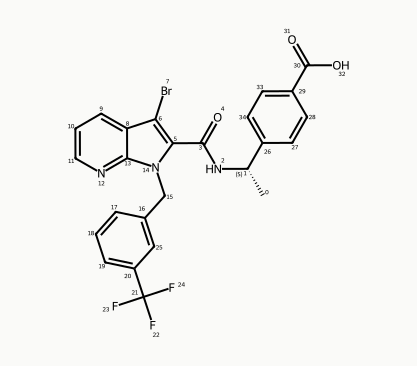 C[C@H](NC(=O)c1c(Br)c2cccnc2n1Cc1cccc(C(F)(F)F)c1)c1ccc(C(=O)O)cc1